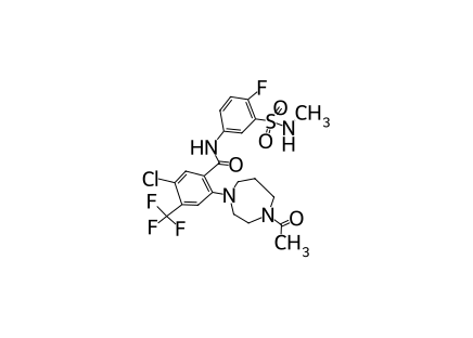 CNS(=O)(=O)c1cc(NC(=O)c2cc(Cl)c(C(F)(F)F)cc2N2CCCN(C(C)=O)CC2)ccc1F